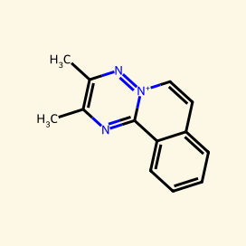 Cc1nc2c3ccccc3cc[n+]2nc1C